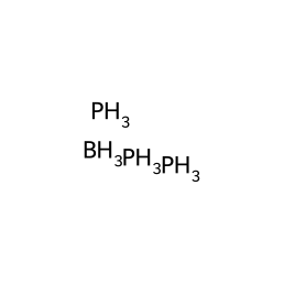 B.P.P.P